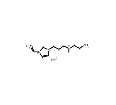 Br.C=CN1C=CN(CCCNCCN)C1